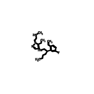 C=Cc1ccc(F)cc1C(CCCC)CNc1cnn(CCNC)c1CC